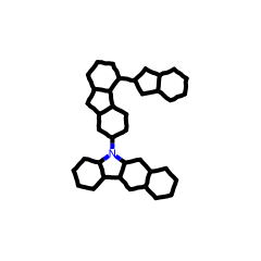 C1CCC2CC(C3CCCC4CC5CC(N6C7CCCCC7C7CC8CCCCC8CC76)CCC5C43)CC2C1